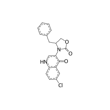 O=C1OCC(Cc2ccccc2)N1c1c[nH]c2ccc(Cl)cc2c1=O